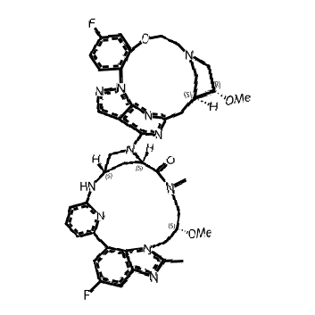 CO[C@H]1CN(C)C(=O)[C@@H]2C[C@@H](CN2c2nc3nc4c2cnn4-c2ccc(F)cc2OCCN2C[C@H](C3)[C@@H](OC)C2)Nc2cccc(n2)-c2cc(F)cc3nc(C)n(c23)C1